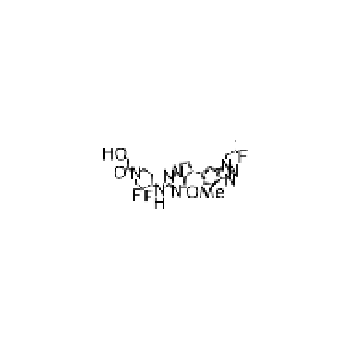 COc1nc(N[C@@H]2CCN(C(=O)CO)CC2(F)F)nn2ccc(-c3ccc4nnn(C[C@H](C)F)c4c3)c12